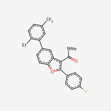 CCc1ccc(C(F)(F)F)cc1-c1ccc2oc(-c3ccc(F)cc3)c(C(=O)NC)c2c1